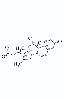 C=C1CC2C3C=CC4=CC(=O)C=C[C@]4(C)C3CC[C@]2(C)[C@@H]1CCC(=O)[O-].[K+]